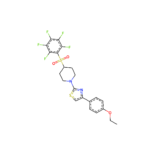 CCOc1ccc(-c2csc(N3CCC(S(=O)(=O)c4c(F)c(F)c(F)c(F)c4F)CC3)n2)cc1